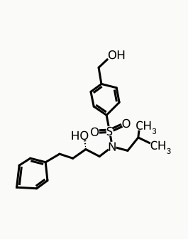 CC(C)CN(C[C@@H](O)CCc1ccccc1)S(=O)(=O)c1ccc(CO)cc1